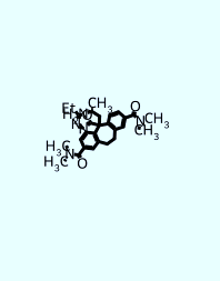 CCc1nnc(C2(C[C@H](C)N)c3ccc(C(=O)N(C)C)cc3CCc3cc(C(=O)N(C)C)ccc32)o1